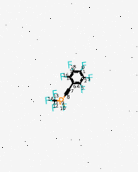 Fc1c(F)c(F)c(C#CP(F)C(F)(F)F)c(F)c1F